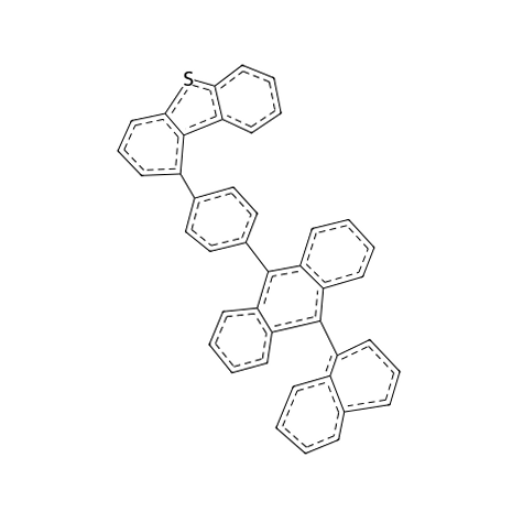 c1ccc2c(-c3c4ccccc4c(-c4ccc(-c5cccc6sc7ccccc7c56)cc4)c4ccccc34)cccc2c1